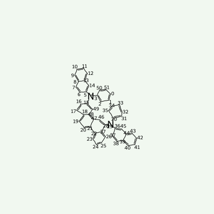 c1ccc(N(c2ccc3ccccc3c2)c2ccc3ccc4c5ccccc5c(N(c5ccccc5)c5ccc6ccccc6c5)cc4c3c2)cc1